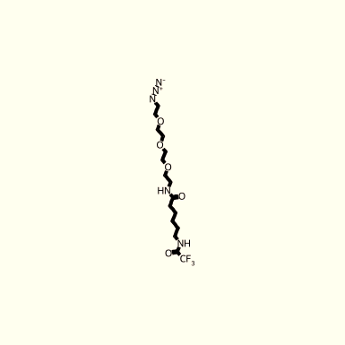 [N-]=[N+]=NCCOCCOCCOCCNC(=O)CCCCCNC(=O)C(F)(F)F